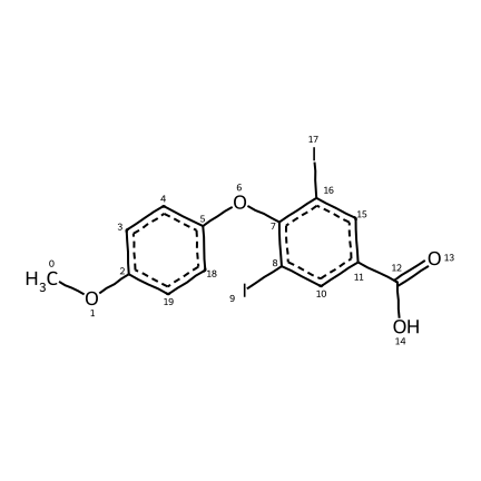 COc1ccc(Oc2c(I)cc(C(=O)O)cc2I)cc1